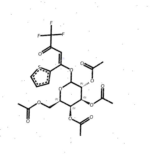 CC(=O)OC[C@H]1OC(O/C(=C/C(=O)C(F)(F)F)c2cccs2)[C@H](OC(C)=O)[C@@H](OC(C)=O)[C@H]1OC(C)=O